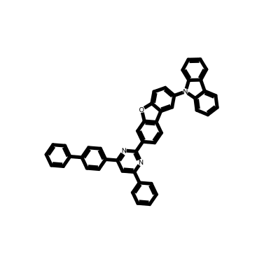 c1ccc(-c2ccc(-c3cc(-c4ccccc4)nc(-c4ccc5c(c4)oc4ccc(-n6c7ccccc7c7ccccc76)cc45)n3)cc2)cc1